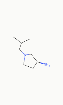 CC(C)CN1CC[C@H](N)C1